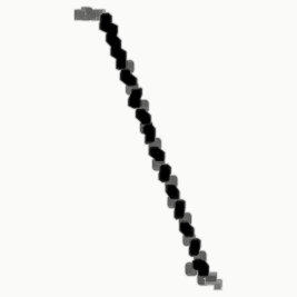 C=CC(=O)OCCOCCOCCOCCOCCOCCOCCOCCOCCOCCOCCCCCCCCCCCCCCCCCC